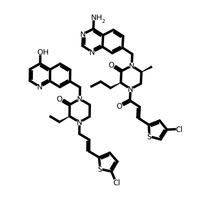 CCC[C@H]1C(=O)N(Cc2ccc3c(N)ncnc3c2)[C@@H](C)CN1C(=O)C=Cc1cc(Cl)cs1.CC[C@H]1C(=O)N(Cc2ccc3c(O)ccnc3c2)CCN1CC=Cc1ccc(Cl)s1